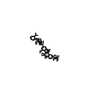 CC(C)c1ccccc1NC(=S)N/N=C/c1cc(F)c2c(C(=O)N(C)c3ccc(OC(F)(F)F)cc3)nn(C)c2c1